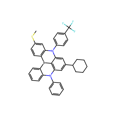 CSc1ccc2c(c1)N(c1ccc(C(F)(F)F)cc1)c1cc(C3CCCCC3)cc3c1B2c1ccccc1N3c1ccccc1